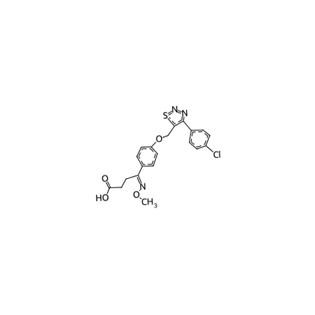 CON=C(CCC(=O)O)c1ccc(OCc2snnc2-c2ccc(Cl)cc2)cc1